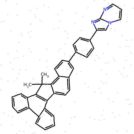 CC1(C)c2c(ccc3cc(-c4ccc(-c5cn6cccnc6n5)cc4)ccc23)-c2c1c1ccccc1c1ccccc21